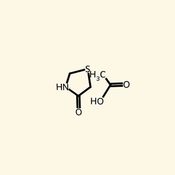 CC(=O)O.O=C1CSCN1